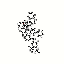 Cc1cc2c(cc1Nc1ccc3sc4cc5c(cc4c3c1-c1cc(-c3ccccc3)cc3c1Bc1cccc4c6c7ccccc7ccc6n-3c14)C(C)(C)CCC5(C)C)C(C)(C)CCC2(C)C